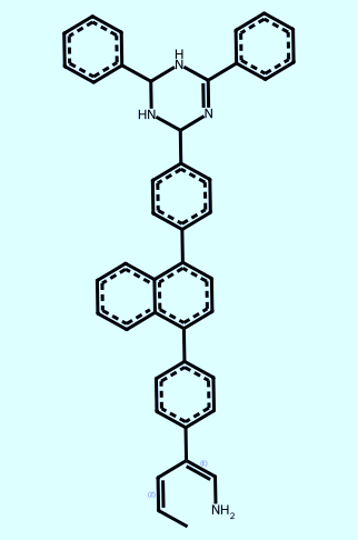 C/C=C\C(=C/N)c1ccc(-c2ccc(-c3ccc(C4N=C(c5ccccc5)NC(c5ccccc5)N4)cc3)c3ccccc23)cc1